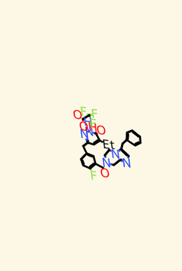 CCc1cc(Cc2ccc(F)c(C(=O)N3CCn4c(Cc5ccccc5)cnc4C3)c2)n[nH]c1=O.O=C(O)C(F)(F)F